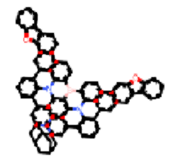 c1ccc(-c2cccc(-c3ccccc3)c2N2c3cc(-c4ccc5c(c4)oc4ccccc45)ccc3B3c4ccc(-c5ccc6c(c5)oc5ccccc56)cc4N(c4c(-c5ccccc5)cccc4-c4ccccc4)c4cc(N5C6CC7CC(C6)CC5C7)cc2c43)cc1